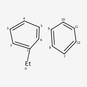 [CH2]Cc1ccccc1.c1ccccc1